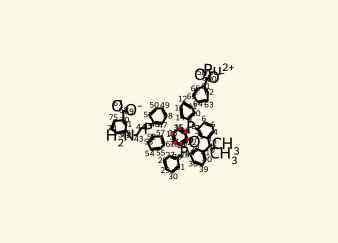 CC1(C)c2cccc(P(c3ccccc3)c3ccccc3)c2Oc2c(P(c3ccccc3)c3ccccc3)cccc21.NCCP(c1ccccc1)c1ccccc1.O=C([O-])c1ccccc1.O=C([O-])c1ccccc1.[Ru+2]